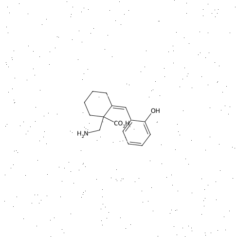 NCC1(C(=O)O)CCCC/C1=C/c1ccccc1O